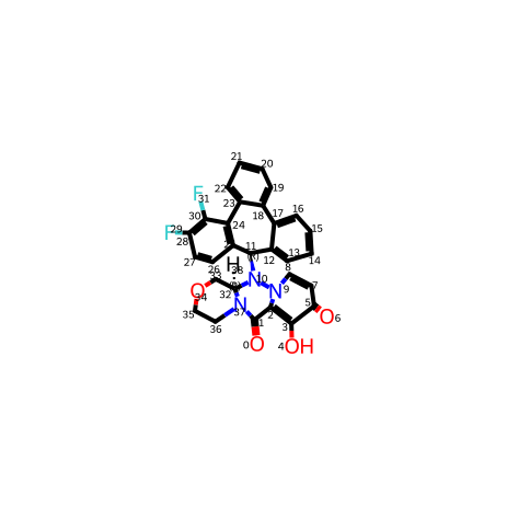 O=C1c2c(O)c(=O)ccn2N([C@@H]2c3ccccc3-c3ccccc3-c3c2ccc(F)c3F)[C@@H]2COCCN12